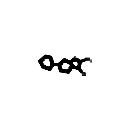 CCc1c(C)sc2cc(-c3ccccc3)ccc12